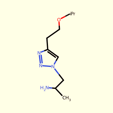 CC(N)Cn1cc(CCOC(C)C)nn1